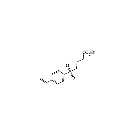 C=Cc1ccc(S(=O)(=O)CCCC(=O)OCC)cc1